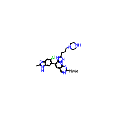 CNc1ncc2cc(-c3cc4[nH]c(C)nc4cc3Cl)c3nc(CCCN4CCNCC4)nn3c2n1